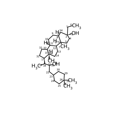 CC[C@]1(O)CC[C@@]2(C)[C@@H](CC[C@@H]3[C@@H]2CC[C@]2(C)[C@@H](C(C)C(O)CC4CCC(C)(C)CC4)CC[C@@H]32)C1